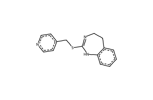 c1ccc2c(c1)CCN=C(SCc1ccncc1)N2